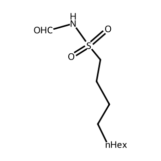 CCCCCCCCCCS(=O)(=O)NC=O